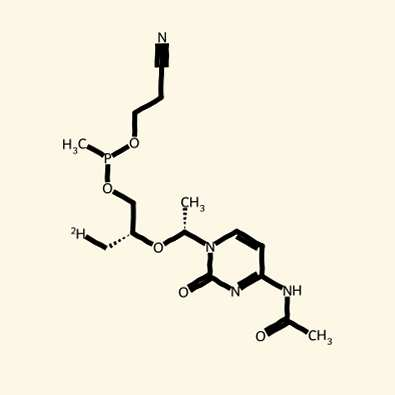 [2H]C[C@H](COP(C)OCCC#N)O[C@H](C)n1ccc(NC(C)=O)nc1=O